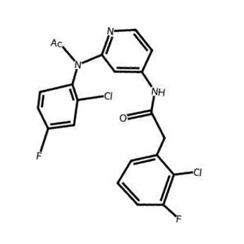 CC(=O)N(c1cc(NC(=O)Cc2cccc(F)c2Cl)ccn1)c1ccc(F)cc1Cl